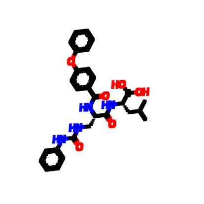 CC(C)C[C@H](NC(=O)[C@H](CNC(=O)Nc1ccccc1)NC(=O)c1ccc(Oc2ccccc2)cc1)B(O)O